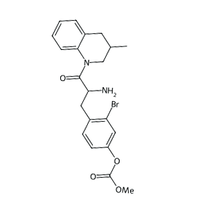 COC(=O)Oc1ccc(CC(N)C(=O)N2CC(C)Cc3ccccc32)c(Br)c1